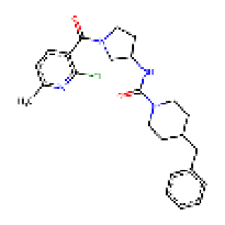 Cc1ccc(C(=O)N2CCC(NC(=O)N3CCC(Cc4ccccc4)CC3)C2)c(Cl)n1